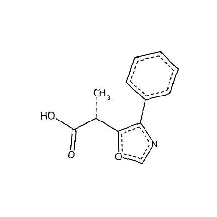 CC(C(=O)O)c1ocnc1-c1ccccc1